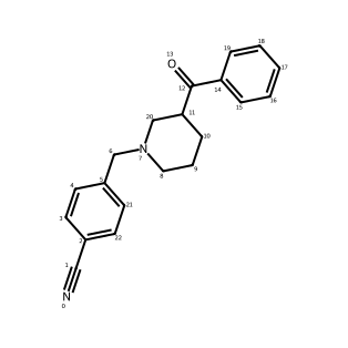 N#Cc1ccc(CN2CCCC(C(=O)c3ccccc3)C2)cc1